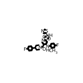 Cc1cc(F)ccc1Nc1cc(S(=O)(=O)Nc2cncs2)ncc1C(=O)N1CCC(c2ccc(F)cc2)CC1